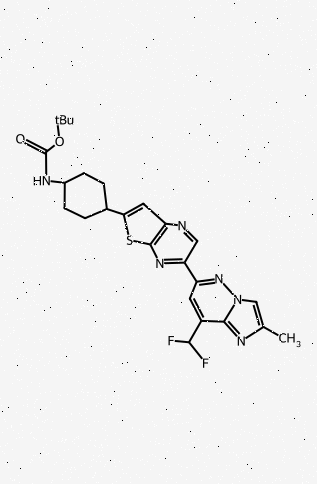 Cc1cn2nc(-c3cnc4cc(C5CCC(NC(=O)OC(C)(C)C)CC5)sc4n3)cc(C(F)F)c2n1